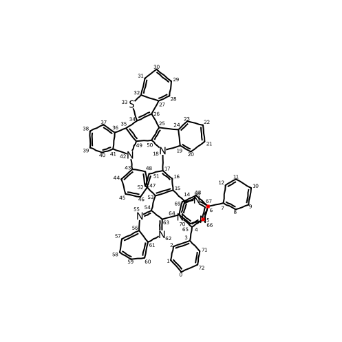 c1ccc(-c2nc(-c3ccccc3)nc(-c3cc(-n4c5ccccc5c5c6c7ccccc7sc6c6c7ccccc7n(-c7ccccc7)c6c54)ccc3-c3nc4ccccc4nc3-c3ccccc3)n2)cc1